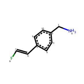 NCc1ccc(C=[C]F)cc1